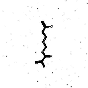 C=C(Cl)CCCCOC(=O)C(=C)C